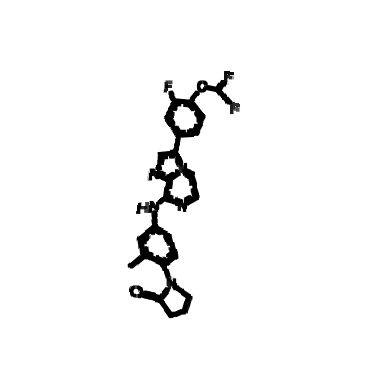 Cc1cc(Nc2nccn3c(-c4ccc(OC(F)F)c(F)c4)cnc23)ccc1N1CCCC1=O